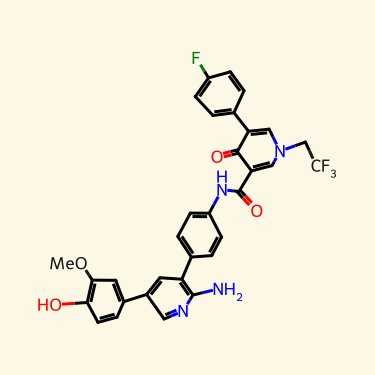 COc1cc(-c2cnc(N)c(-c3ccc(NC(=O)c4cn(CC(F)(F)F)cc(-c5ccc(F)cc5)c4=O)cc3)c2)ccc1O